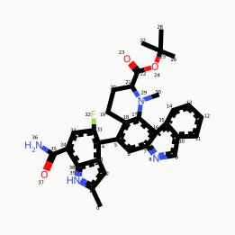 Cc1cc2c(-c3cc4ncc5ccccc5c4c4c3CCC(C(=O)OC(C)(C)C)N4C)c(F)cc(C(N)=O)c2[nH]1